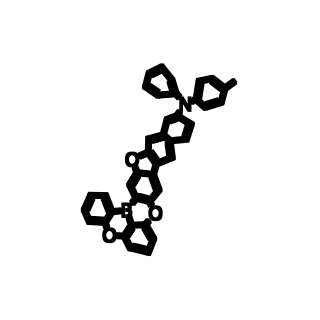 Cc1ccc(N(c2ccccc2)c2ccc3cc4c(cc3c2)oc2cc3c(cc24)Oc2cccc4c2B3c2ccccc2O4)cc1